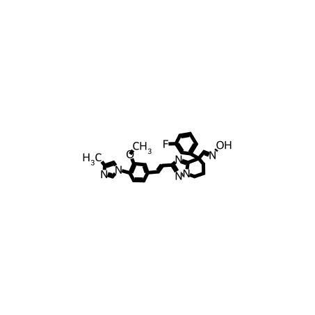 COc1cc(/C=C/c2nc3n(n2)CCCC3(/C=N/O)c2cccc(F)c2)ccc1-n1cnc(C)c1